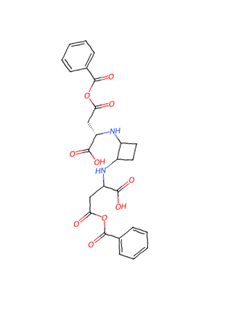 O=C(CC(NC1CCC1N[C@@H](CC(=O)OC(=O)c1ccccc1)C(=O)O)C(=O)O)OC(=O)c1ccccc1